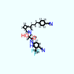 CC(O)(CN1CC(CCCc2ccc(C#N)cc2)C2CCC2C1)C(=O)Nc1ccc(C#N)c(C(F)(F)F)c1